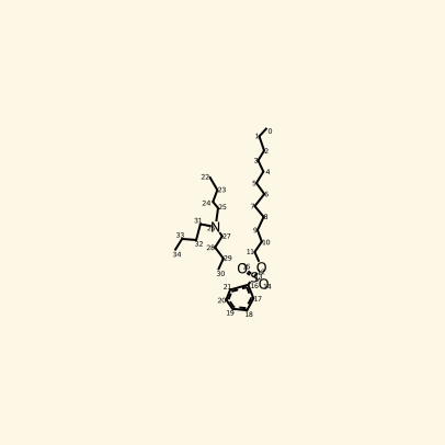 CCCCCCCCCCCCOS(=O)(=O)c1ccccc1.CCCCN(CCCC)CCCC